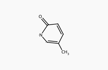 CC1=[C][N]C(=O)C=C1